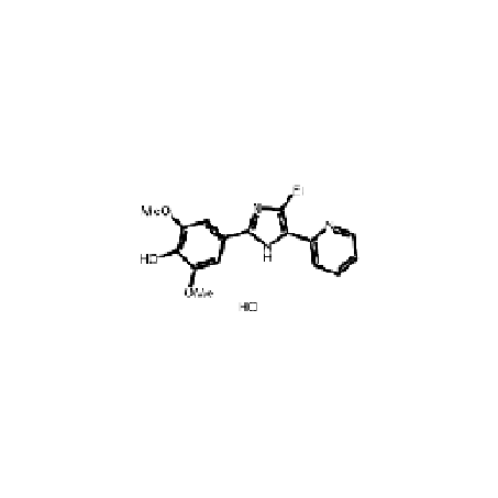 CCc1nc(-c2cc(OC)c(O)c(OC)c2)[nH]c1-c1ccccn1.Cl